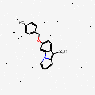 CCOC(=O)c1c2ccc(OCc3ccc(C#N)cc3)cc2n2ccccc12